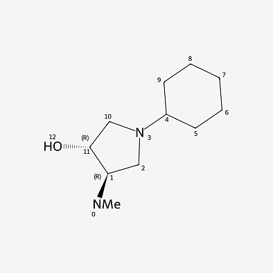 CN[C@@H]1CN(C2CCCCC2)C[C@H]1O